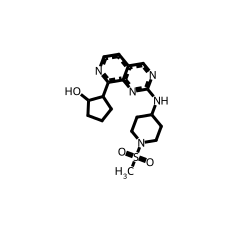 CS(=O)(=O)N1CCC(Nc2ncc3ccnc(C4CCCC4O)c3n2)CC1